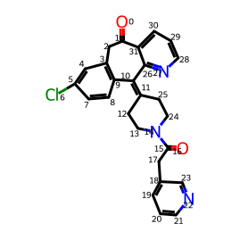 O=C1Cc2cc(Cl)ccc2C(=C2CCN(C(=O)Cc3cccnc3)CC2)c2ncccc21